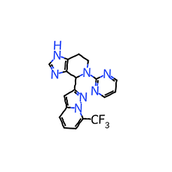 FC(F)(F)c1cccc2cc(C3c4nc[nH]c4CCN3c3ncccn3)nn12